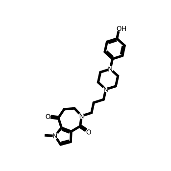 Cn1ccc2c1C(=O)CCN(CCCN1CCN(c3ccc(O)cc3)CC1)C2=O